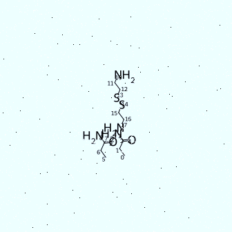 CCC(N)=O.CCC(N)=O.NCCSSCCN